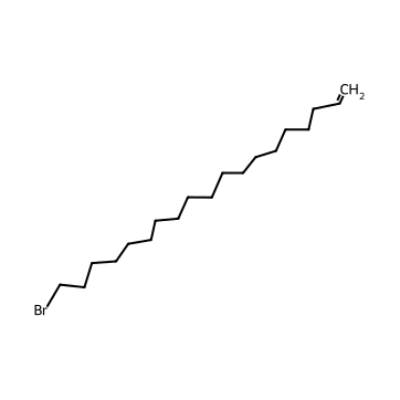 C=CCCCCCCCCCCCCCCCCCBr